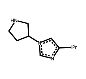 CC(C)c1cn(C2CCNC2)cn1